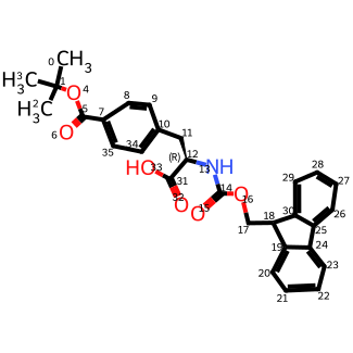 CC(C)(C)OC(=O)c1ccc(C[C@@H](NC(=O)OCC2c3ccccc3-c3ccccc32)C(=O)O)cc1